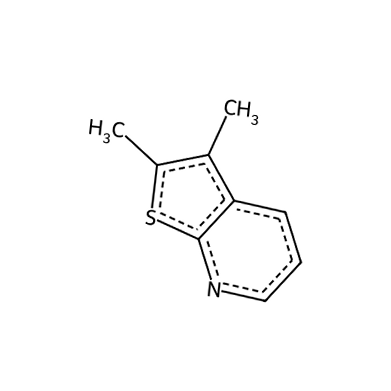 Cc1sc2ncccc2c1C